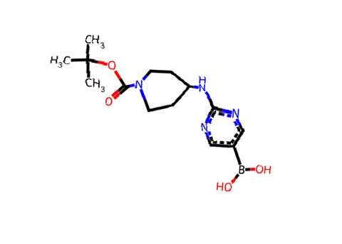 CC(C)(C)OC(=O)N1CCC(Nc2ncc(B(O)O)cn2)CC1